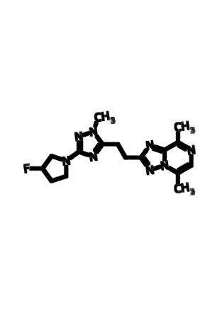 Cc1ncc(C)n2nc(CCc3nc(N4CCC(F)C4)nn3C)nc12